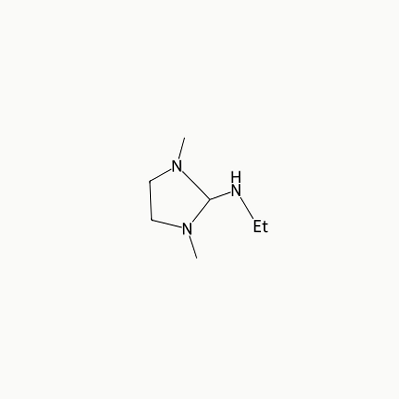 CCNC1N(C)CCN1C